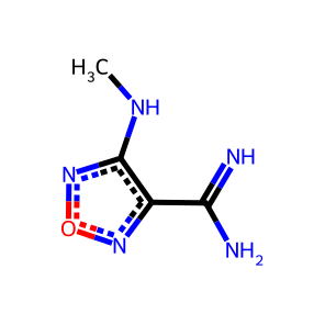 CNc1nonc1C(=N)N